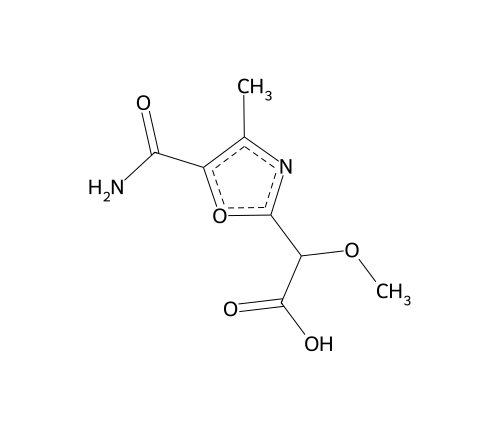 COC(C(=O)O)c1nc(C)c(C(N)=O)o1